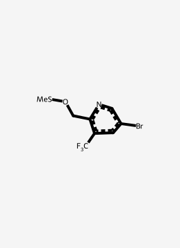 CSOCc1ncc(Br)cc1C(F)(F)F